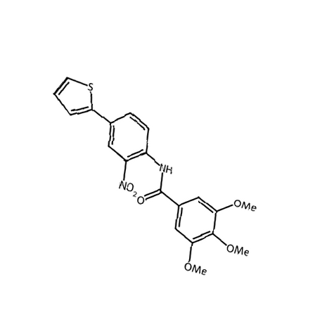 COc1cc(C(=O)Nc2ccc(-c3cccs3)cc2[N+](=O)[O-])cc(OC)c1OC